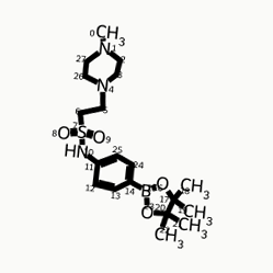 CN1CCN(CCS(=O)(=O)Nc2ccc(B3OC(C)(C)C(C)(C)O3)cc2)CC1